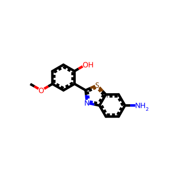 COc1ccc(O)c(-c2nc3ccc(N)cc3s2)c1